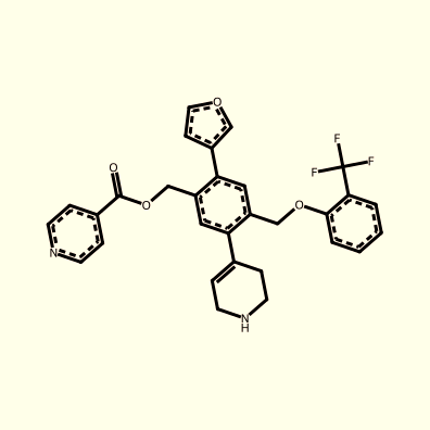 O=C(OCc1cc(C2=CCNCC2)c(COc2ccccc2C(F)(F)F)cc1-c1ccoc1)c1ccncc1